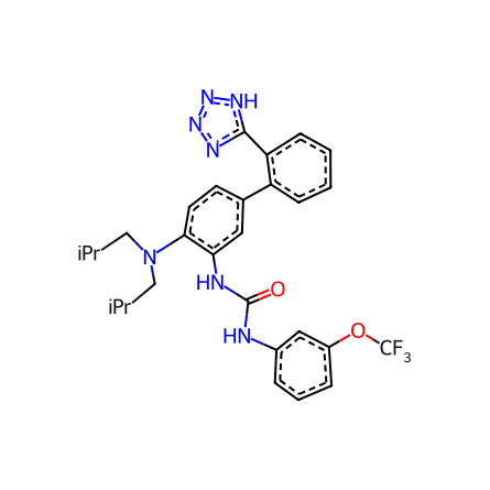 CC(C)CN(CC(C)C)c1ccc(-c2ccccc2-c2nnn[nH]2)cc1NC(=O)Nc1cccc(OC(F)(F)F)c1